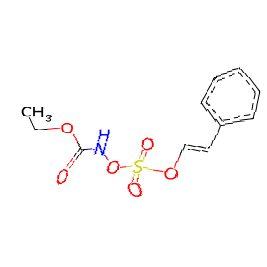 CCOC(=O)NOS(=O)(=O)OC=Cc1ccccc1